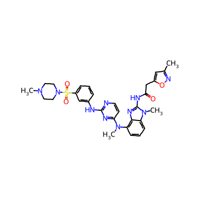 Cc1cc(CC(=O)Nc2nc3c(N(C)c4ccnc(Nc5cccc(S(=O)(=O)N6CCN(C)CC6)c5)n4)cccc3n2C)on1